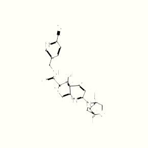 N#Cc1ccc(CNC(=O)c2ncc3nc(N4C[C@@H]5C[C@H]4CO5)ccc3c2O)cn1